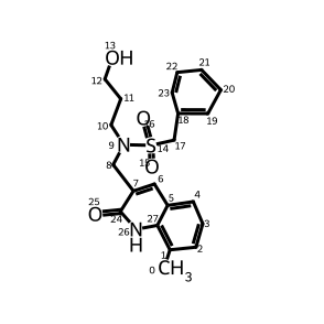 Cc1cccc2cc(CN(CCCO)S(=O)(=O)Cc3ccccc3)c(=O)[nH]c12